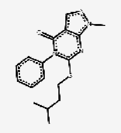 CC(C)CCSc1nc2c(cnn2C)c(=O)n1-c1ccccc1